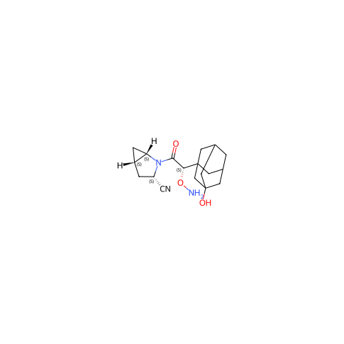 N#C[C@@H]1C[C@@H]2C[C@@H]2N1C(=O)[C@@H](ON)C12CC3CC(CC(O)(C3)C1)C2